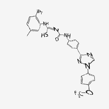 Cc1ccc(C(C)C)c(N/C(S)=N/C(=O)Nc2ccc(-c3ncn(-c4ccc(OC(F)(F)F)cc4)n3)cc2)c1